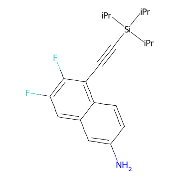 CC(C)[Si](C#Cc1c(F)c(F)cc2cc(N)ccc12)(C(C)C)C(C)C